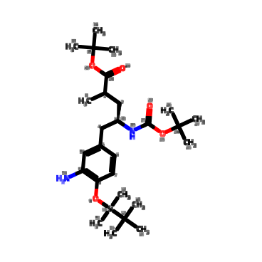 CC(C[C@H](Cc1ccc(O[Si](C)(C)C(C)(C)C)c(N)c1)NC(=O)OC(C)(C)C)C(=O)OC(C)(C)C